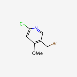 COc1cc(Cl)ncc1CBr